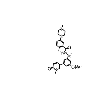 COc1cc(-c2ccc(=O)n(C)c2)cc([C@@H](C)NC(=O)c2cc(N3CCN(C)CC3)ccc2C)c1